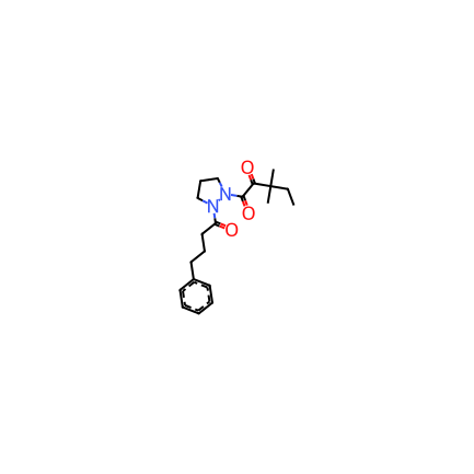 CCC(C)(C)C(=O)C(=O)N1CCCN1C(=O)CCCc1ccccc1